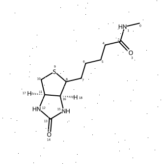 CNC(=O)CCCCC1SC[C@@H]2NC(=O)N[C@H]12